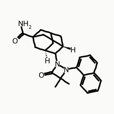 CC1(C)C(=O)N(C2[C@@H]3CC4C[C@H]2CC(C(N)=O)(C4)C3)N1c1cccc2ccccc12